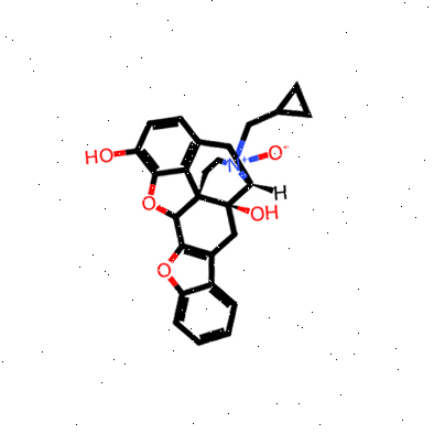 [O-][N+]1(CC2CC2)CC[C@]23c4c5ccc(O)c4OC2c2oc4ccccc4c2C[C@@]3(O)[C@H]1C5